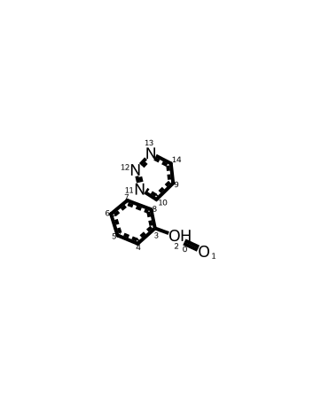 C=O.Oc1ccccc1.c1cnnnc1